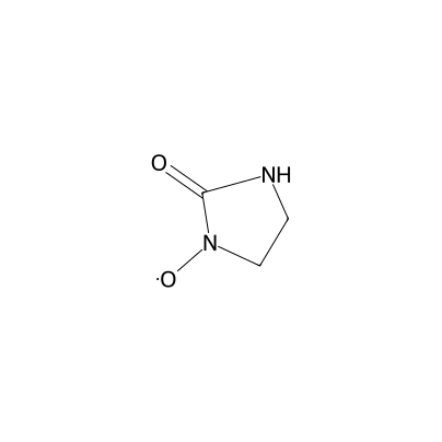 [O]N1CCNC1=O